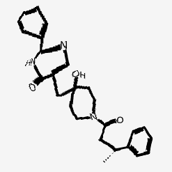 C[C@H](CC(=O)N1CCC(O)(Cc2cnc(-c3ccccc3)[nH]c2=O)CC1)c1ccccc1